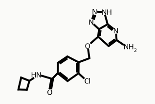 Nc1cc(OCc2ccc(C(=O)NC3CCC3)cc2Cl)c2nn[nH]c2n1